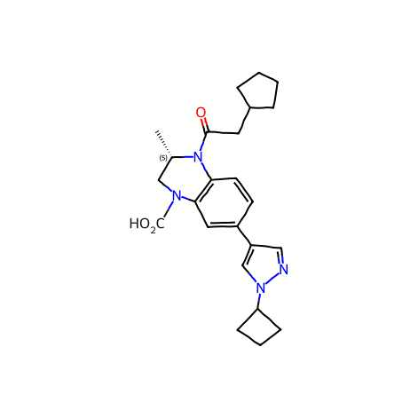 C[C@H]1CN(C(=O)O)c2cc(-c3cnn(C4CCC4)c3)ccc2N1C(=O)CC1CCCC1